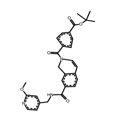 COc1cc(CNC(=O)c2ccc3c(c2)CN(C(=O)c2ccc(C(=O)OC(C)(C)C)cc2)C=C3)ccn1